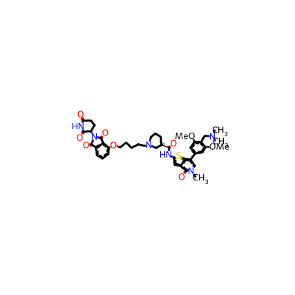 COc1cc(-c2cn(C)c(=O)c3cc(NC(=O)[C@@H]4CCCN(CCCCCOc5cccc6c5C(=O)N(C5CCC(=O)NC5=O)C6=O)C4)sc23)cc(OC)c1CN(C)C